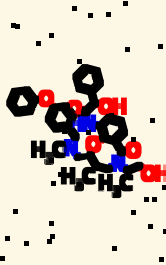 C[C@@H]1CN([C@@H](C)CO)C(=O)c2cccc(NC(=O)C(O)c3ccccc3)c2O[C@@H]1CN(C)Cc1ccc(Oc2ccccc2)cc1